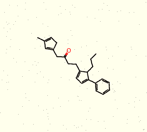 CCCC1C(CCC(=O)CC2=CC(C)=CC2)=CC=C1c1ccccc1